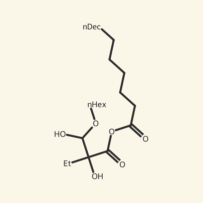 CCCCCCCCCCCCCCCC(=O)OC(=O)C(O)(CC)C(O)OCCCCCC